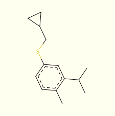 Cc1ccc(SCC2CC2)cc1C(C)C